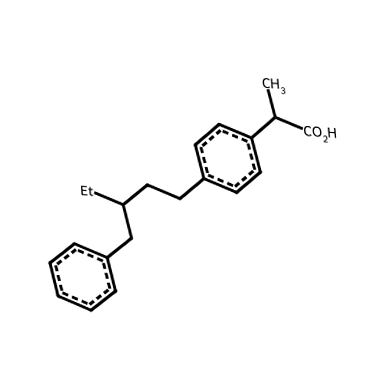 CCC(CCc1ccc(C(C)C(=O)O)cc1)Cc1ccccc1